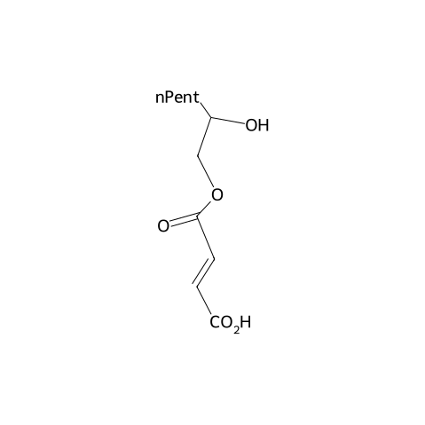 CCCCCC(O)COC(=O)C=CC(=O)O